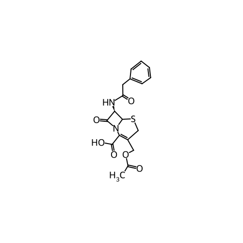 CC(=O)OCC1=C(C(=O)O)N2C(=O)[C@@H](NC(=O)Cc3ccccc3)C2SC1